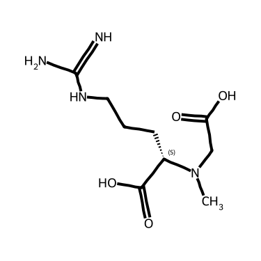 CN(CC(=O)O)[C@@H](CCCNC(=N)N)C(=O)O